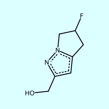 OCc1cc2n(n1)CC(F)C2